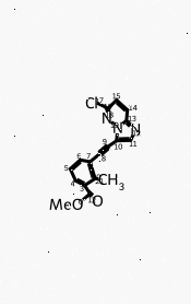 COC(=O)c1cccc(C#Cc2cnc3ccc(Cl)nn23)c1C